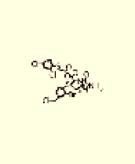 NC1C(=O)N2C(C(=O)OC(=O)CSc3ccc(Cl)cc3Cl)=C(Sc3ccc(CCl)cc3Br)CS[C@@H]12